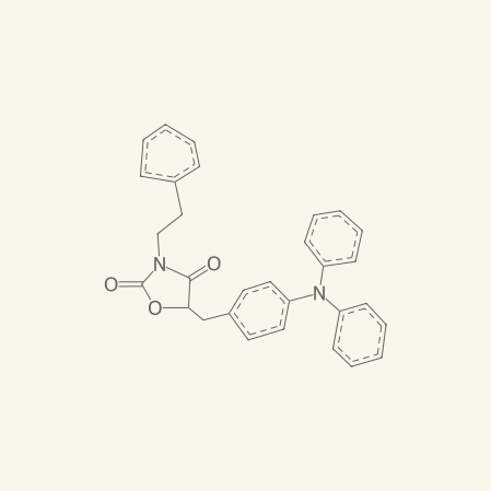 O=C1OC(Cc2ccc(N(c3ccccc3)c3ccccc3)cc2)C(=O)N1CCc1ccccc1